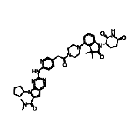 CN(C)C(=O)c1cc2cnc(Nc3ccc(CC(=O)N4CCN(c5cccc6c5C(C)(C)C(=O)N6[C@H]5CCC(=O)NC5=O)CC4)cn3)nc2n1C1CCCC1